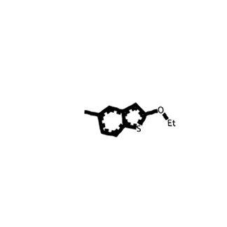 CCOc1cc2cc(C)ccc2s1